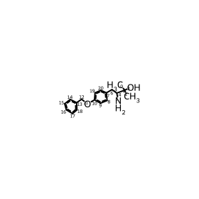 CC(C)(O)C(N)Cc1ccc(OCc2ccccc2)cc1